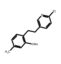 CCc1ccc(CCc2ccc(C)cc2OC)cn1